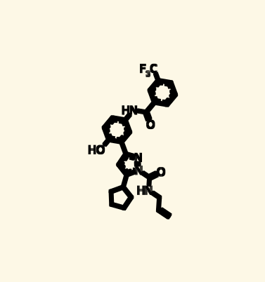 C=CCNC(=O)n1nc(-c2cc(NC(=O)c3cccc(C(F)(F)F)c3)ccc2O)cc1C1CCCC1